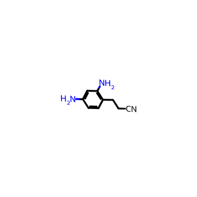 N#CCCc1ccc(N)cc1N